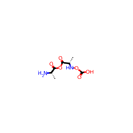 C[C@H](N)C(=O)OC(=O)[C@H](C)NOC(=O)O